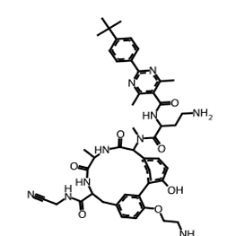 Cc1nc(-c2ccc(C(C)(C)C)cc2)nc(C)c1C(=O)NC(CCN)C(=O)N(C)C1C(=O)NC(C)C(=O)NC(C(=O)NCC#N)Cc2ccc(OCCN)c(c2)-c2cc1ccc2O